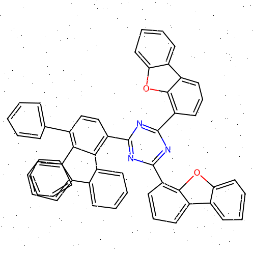 c1ccc(-c2ccccc2-c2c(-c3nc(-c4cccc5c4oc4ccccc45)nc(-c4cccc5c4oc4ccccc45)n3)ccc(-c3ccccc3)c2-c2ccccc2)cc1